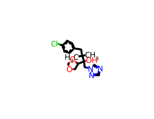 CC(C)(Cc1ccc(Cl)cc1)C(O)(Cn1cncn1)C1COCO1